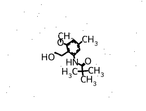 COc1cc(C)cc(NC(=O)C(C)(C)C)c1CCO